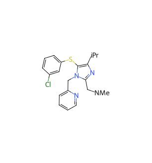 CNCc1nc(C(C)C)c(Sc2cccc(Cl)c2)n1Cc1ccccn1